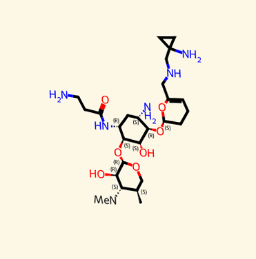 CN[C@@H]1[C@@H](O)[C@@H](O[C@@H]2[C@@H](O)[C@H](O[C@@H]3CCC=C(CNCC4(N)CC4)O3)[C@@H](N)C[C@H]2NC(=O)CCN)OC[C@H]1C